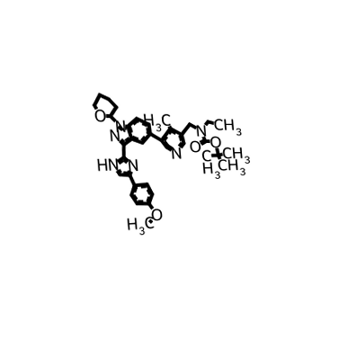 CCN(Cc1cncc(-c2ccc3c(c2)c(-c2nc(-c4ccc(OC)cc4)c[nH]2)nn3C2CCCCO2)c1C)C(=O)OC(C)(C)C